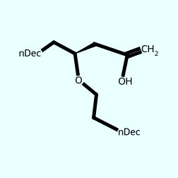 C=C(O)C[C@H](CCCCCCCCCCC)OCCCCCCCCCCCC